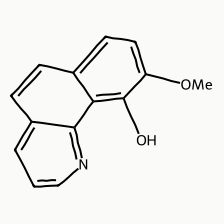 COc1ccc2ccc3cccnc3c2c1O